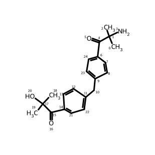 CC(C)(N)C(=O)c1ccc(Cc2ccc(C(=O)C(C)(C)O)cc2)cc1